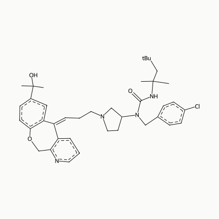 CC(C)(C)CC(C)(C)NC(=O)N(Cc1ccc(Cl)cc1)C1CCN(CCC=C2c3cc(C(C)(C)O)ccc3OCc3ncccc32)C1